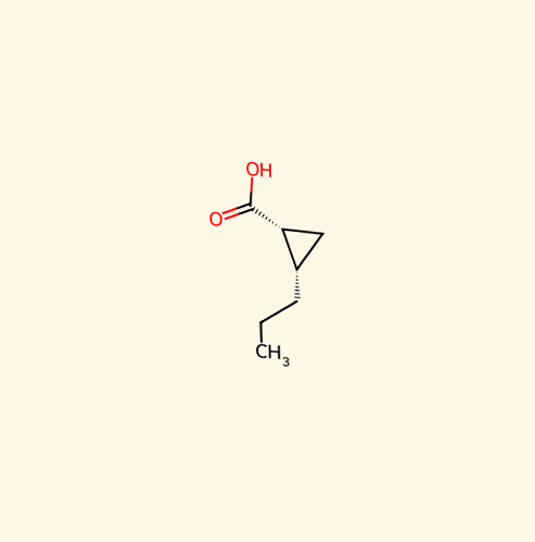 CCC[C@H]1C[C@H]1C(=O)O